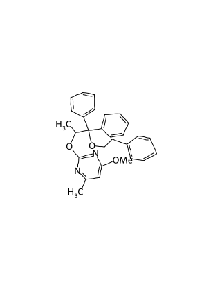 COc1cc(C)nc(OC(C)C(OCCc2ccccc2)(c2ccccc2)c2ccccc2)n1